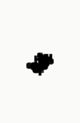 O=C(Nc1cc(F)ccc1CN(C(=O)OCc1ccccc1)C1CC(=S)NC1=O)OCc1ccccc1